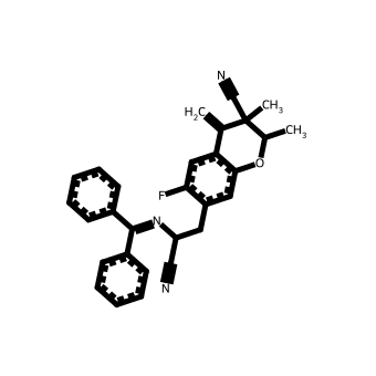 C=C1c2cc(F)c(CC(C#N)N=C(c3ccccc3)c3ccccc3)cc2OC(C)C1(C)C#N